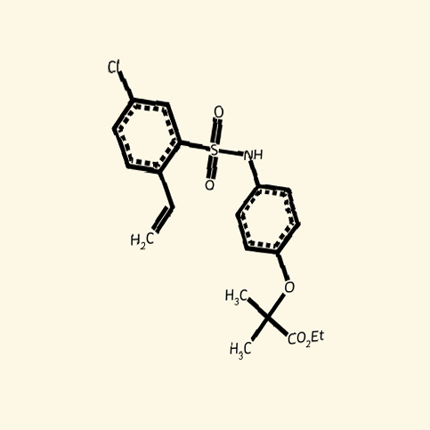 C=Cc1ccc(Cl)cc1S(=O)(=O)Nc1ccc(OC(C)(C)C(=O)OCC)cc1